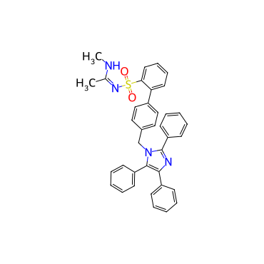 CNC(C)=NS(=O)(=O)c1ccccc1-c1ccc(Cn2c(-c3ccccc3)nc(-c3ccccc3)c2-c2ccccc2)cc1